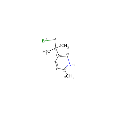 Cc1ccc(C(C)(C)CBr)cn1